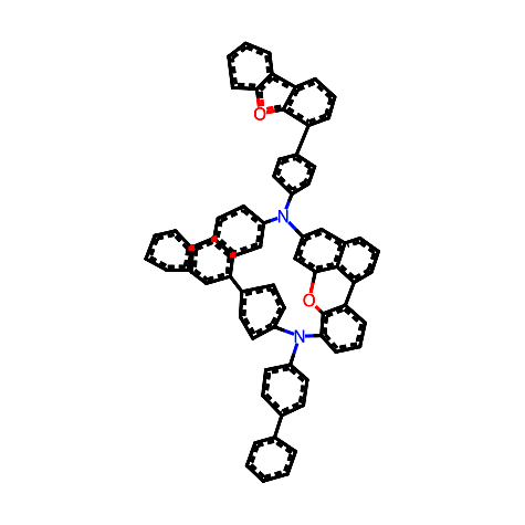 c1ccc(-c2ccc(N(c3ccc(-c4cccc5c4oc4ccccc45)cc3)c3cc4c5c(cccc5c3)-c3cccc(N(c5ccc(-c6ccccc6)cc5)c5ccc(-c6ccccc6)cc5)c3O4)cc2)cc1